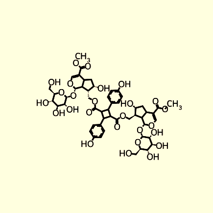 COC(=O)C1=CO[C@@H](O[C@@H]2O[C@H](CO)[C@@H](O)[C@H](O)[C@H]2O)C2C1C[C@H](O)[C@@H]2COC(=O)C1C(c2ccc(O)cc2)C(C(=O)OC[C@@H]2C3C(C[C@@H]2O)C(C(=O)OC)=CO[C@H]3O[C@@H]2O[C@H](CO)[C@@H](O)[C@H](O)[C@H]2O)C1c1ccc(O)cc1